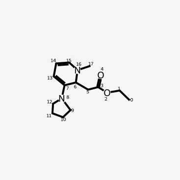 CCOC(=O)CC1C(N2CCCC2)=CC=CN1C